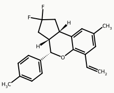 C=Cc1cc(C)cc2c1O[C@H](c1ccc(C)cc1)[C@@H]1CC(F)(F)C[C@H]21